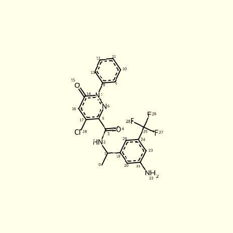 CC(NC(=O)c1nn(-c2ccccc2)c(=O)cc1Cl)c1cc(N)cc(C(F)(F)F)c1